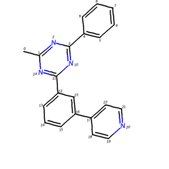 Cc1nc(-c2ccccc2)nc(-c2cccc(-c3ccncc3)c2)n1